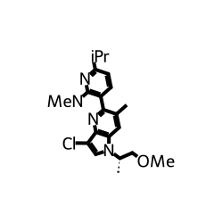 CNc1nc(C(C)C)ccc1-c1nc2c(Cl)cn([C@@H](C)COC)c2cc1C